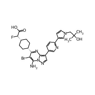 CC(C)(O)Cn1ccc(-c2ccc(-c3cnn4c(N)c(Br)c([C@H]5CC[C@@H](C(F)C(=O)O)CC5)nc34)cn2)c1